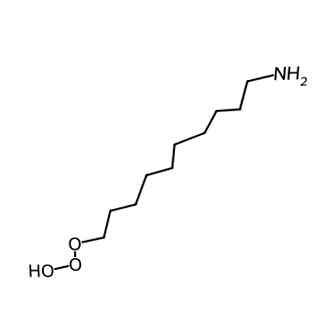 NCCCCCCCCCCOOO